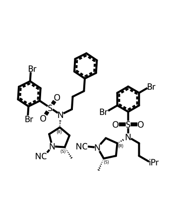 CC(C)CCN([C@@H]1C[C@H](C)N(C#N)C1)S(=O)(=O)c1cc(Br)ccc1Br.C[C@H]1C[C@@H](N(CCCc2ccccc2)S(=O)(=O)c2cc(Br)ccc2Br)CN1C#N